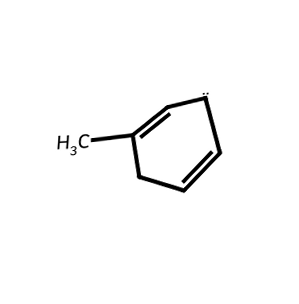 CC1=C[C]C=CC1